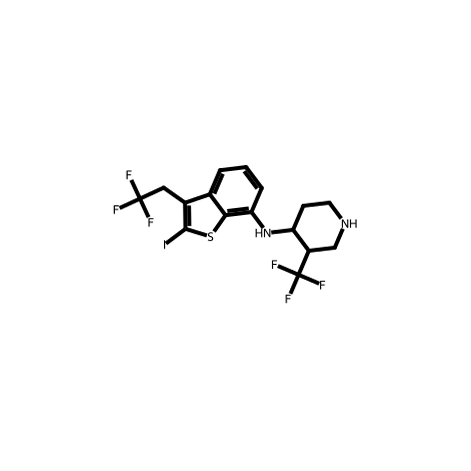 FC(F)(F)Cc1c(I)sc2c(NC3CCNCC3C(F)(F)F)cccc12